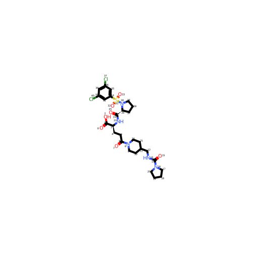 O=C(O)[C@H](CCC(=O)N1CCC(CNC(=O)N2CCCC2)CC1)NC(=O)[C@H]1CCCN1S(=O)(=O)c1cc(Cl)cc(Cl)c1